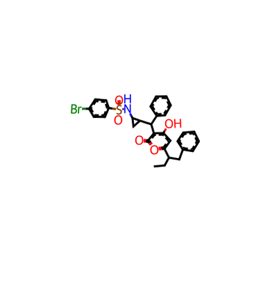 CCC(Cc1ccccc1)c1cc(O)c(C(c2ccccc2)C2CC2NS(=O)(=O)c2ccc(Br)cc2)c(=O)o1